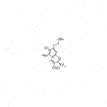 CC(C)(C)CCc1cc2c(cc1Cl)C=C(C(=O)[O-])[C@H](C(F)(F)F)O2.[Na+]